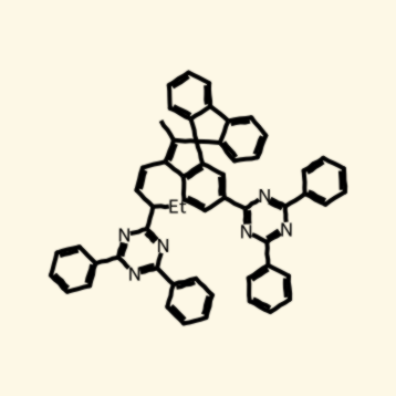 CCC(/C=C\C1=C(C)C2(c3cc(-c4nc(-c5ccccc5)nc(-c5ccccc5)n4)ccc31)c1ccccc1-c1ccccc12)c1nc(-c2ccccc2)nc(-c2ccccc2)n1